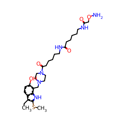 CCc1c(SC)[nH]c2c(CN3CCN(C(=O)CCCCCNC(=O)CCCCCNC(=O)CON)CC3)c(O)ccc12